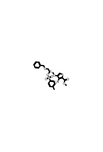 COC(=O)c1scc(OC[C@@H](COCc2ccccc2)OS(=O)(=O)c2ccc(C)cc2)c1N